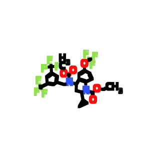 CCOC(=O)N1c2ccc(OC(F)(F)F)cc2C(N(Cc2cc(C(F)(F)F)cc(C(F)(F)F)c2)C(=O)OC)CC1C1CC1